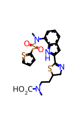 CN(CCC1CN=C(c2cc3cccc(N(C)S(=O)(=O)c4cccs4)c3[nH]2)S1)C(=O)O